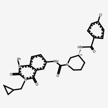 CC(C)n1c(=O)n(CC2CC2)c(=O)c2cc(NC(=O)N3CCC[C@@H](NC(=O)c4ccc(Cl)cc4)C3)ccc21